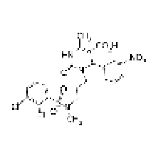 CC1=C(C(=O)O)C(c2cccc([N+](=O)[O-])c2)N(CCCN(C)S(=O)(=O)c2cccc(Cl)c2Cl)C(=O)N1